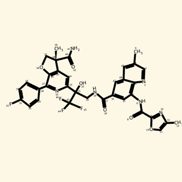 Cc1cnc2c(NC(=O)c3nc(C)co3)cc(C(=O)NCC(O)(c3cc4c(c(-c5ccc(F)cc5)n3)OC[C@]4(C)C(N)=O)C(F)(F)F)cc2c1